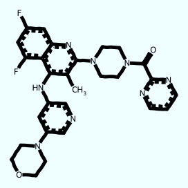 Cc1c(N2CCN(C(=O)c3ncccn3)CC2)nc2cc(F)cc(F)c2c1Nc1cncc(N2CCOCC2)c1